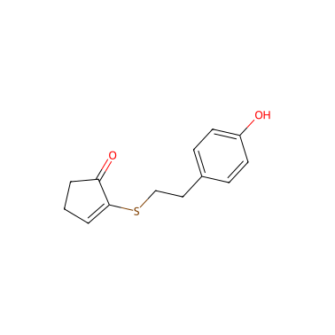 O=C1CCC=C1SCCc1ccc(O)cc1